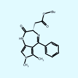 Cc1c2c(cn1C)NC(=O)[C@H](CC(=O)OC(C)(C)C)N=C2c1ccccc1